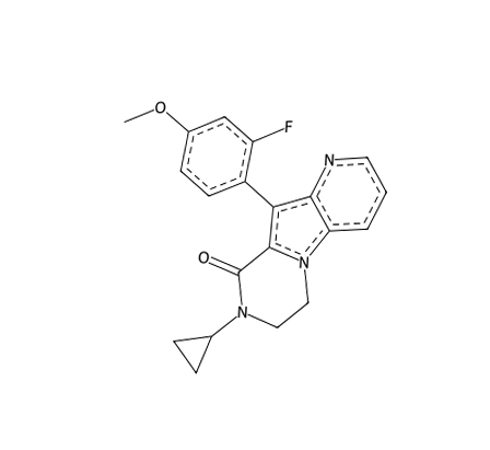 COc1ccc(-c2c3n(c4cccnc24)CCN(C2CC2)C3=O)c(F)c1